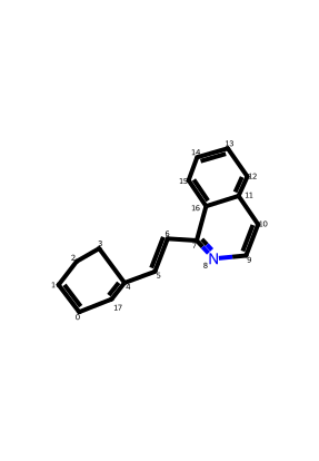 C1=CCCC(C=Cc2nccc3ccccc23)=C1